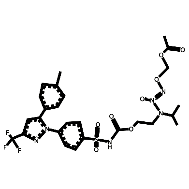 CC(=O)OCO/N=[N+](\[O-])N(CCOC(=O)NS(=O)(=O)c1ccc(-n2nc(C(F)(F)F)cc2-c2ccc(C)cc2)cc1)C(C)C